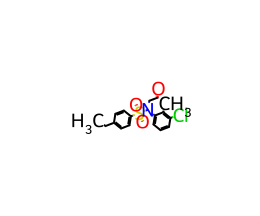 CCc1ccc(S(=O)(=O)N(CC=O)c2cccc(Cl)c2C)cc1